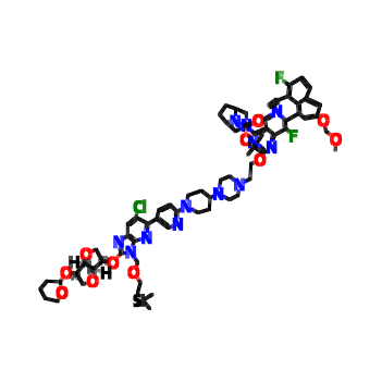 C#Cc1c(F)ccc2cc(OCOC)cc(-c3ncc4c(N5CC6CCC(C5)N6C(=O)OC(C)(C)C)nc(OCCN5CCN(C6CCN(c7ccc(-c8nc9c(cc8Cl)nc(O[C@@H]8CO[C@H]%10[C@@H]8OC[C@H]%10OC8CCCCO8)n9COCC[Si](C)(C)C)cn7)CC6)CC5)nc4c3F)c12